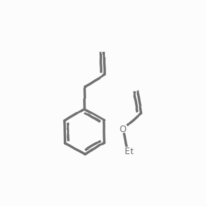 C=CCc1ccccc1.C=COCC